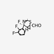 O=C[C@]12C[C@H]1[C@@](CF)(c1cccc(F)c1F)N=[C]S2